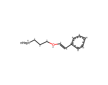 CCCCCCCCCCOC=Cc1ccccc1